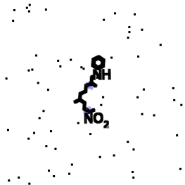 C/C(=C\CCC(C)C/C=C(\C)[N+](=O)[O-])CNc1ccccc1